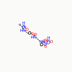 O=C(COc1ccc(CC(=O)Nc2cc(C3CCC3)[nH]n2)cc1)NCCCCNc1cccc2c1C(=O)N(C1CCC(=O)NC1=O)C2=O